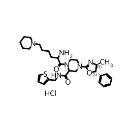 C[C@@H]1N=C(N2CCN(C(=O)C(N)CCCCN3CCCCC3)C(C(=O)NCc3cccs3)C2)O[C@H]1c1ccccc1.Cl